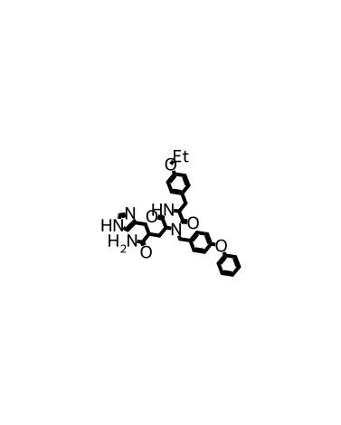 CCOc1ccc(CC2NC(=O)C(CC(Cc3c[nH]cn3)C(N)=O)N(Cc3ccc(Oc4ccccc4)cc3)C2=O)cc1